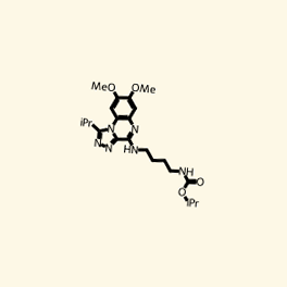 COc1cc2nc(NCCCCNC(=O)OC(C)C)c3nnc(C(C)C)n3c2cc1OC